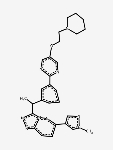 CC(c1cccc(-c2ncc(OCCN3CCCCC3)cn2)c1)c1nnc2ccc(-c3cnn(C)c3)nn12